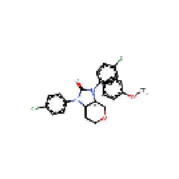 O=C1N(c2ccc(Cl)cc2)C2CCOC[C@]2(c2cccc(OC(F)(F)F)c2)N1c1ccc(Cl)cc1